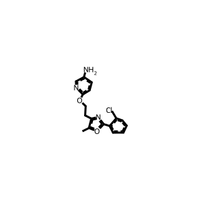 Cc1oc(-c2ccccc2Cl)nc1CCOc1ccc(N)cn1